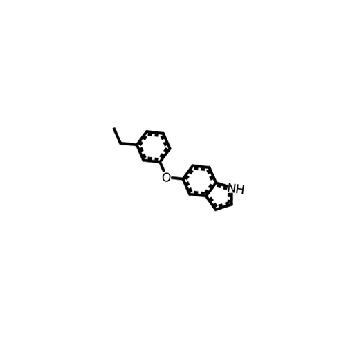 CCc1cccc(Oc2ccc3[nH]ccc3c2)c1